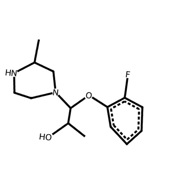 CC1CN(C(Oc2ccccc2F)C(C)O)CCN1